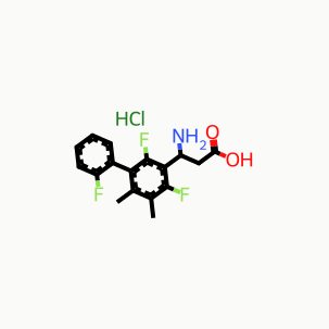 Cc1c(C)c(-c2ccccc2F)c(F)c(C(N)CC(=O)O)c1F.Cl